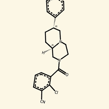 N#Cc1cccc(C(=O)N2CCN3C[C@@H](c4ccccc4)CC[C@@H]3C2)c1Cl